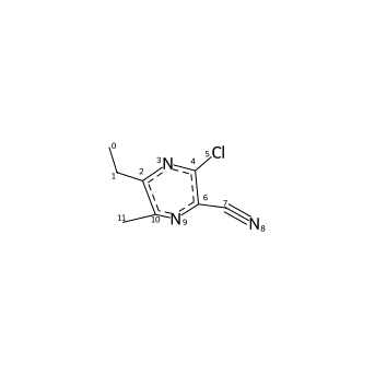 CCc1nc(Cl)c(C#N)nc1C